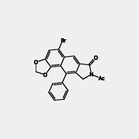 CC(=O)N1Cc2c(cc3c(Br)cc4c(c3c2-c2ccccc2)OCO4)C1=O